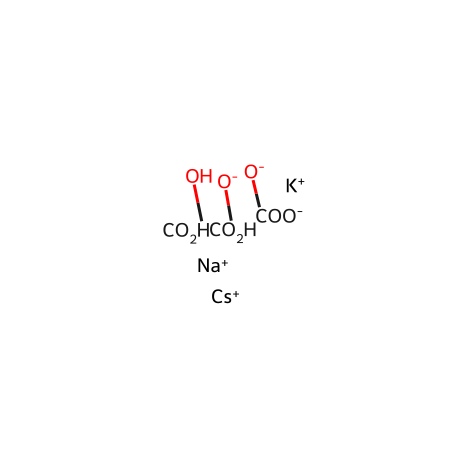 O=C(O)O.O=C([O-])O.O=C([O-])[O-].[Cs+].[K+].[Na+]